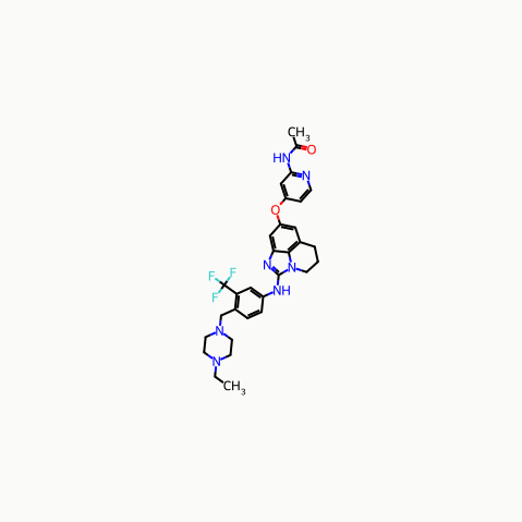 CCN1CCN(Cc2ccc(Nc3nc4cc(Oc5ccnc(NC(C)=O)c5)cc5c4n3CCC5)cc2C(F)(F)F)CC1